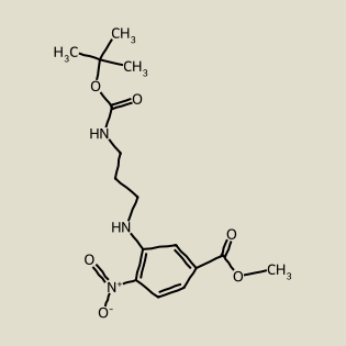 COC(=O)c1ccc([N+](=O)[O-])c(NCCCNC(=O)OC(C)(C)C)c1